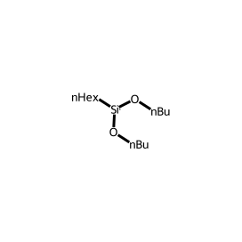 CCCCCC[Si](OCCCC)OCCCC